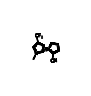 Cn1ccc(C(F)(F)F)c1.N#Cc1ccc[nH]1